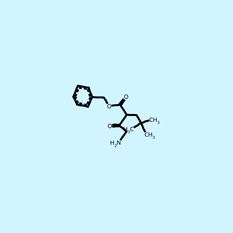 CC(C)(C)CC(C(=O)CN)C(=O)OCc1ccccc1